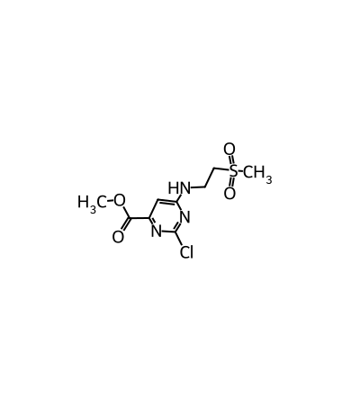 COC(=O)c1cc(NCCS(C)(=O)=O)nc(Cl)n1